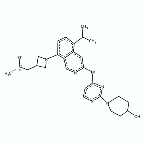 CC(C)c1ccc(N2CC(C[S@+](C)[O-])C2)c2cnc(Nc3ccnc(N4CCC(O)CC4)n3)cc12